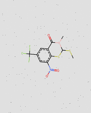 CSC1Sc2c(cc(C(F)(F)F)cc2[N+](=O)[O-])C(=O)B1C